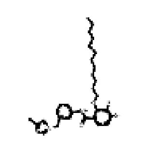 CCCCCCCCCCCCOc1c(F)cccc1C(=O)Nc1cccc(C[n+]2csc(C)c2)c1.[Br-]